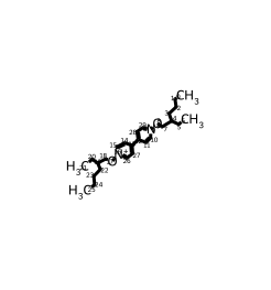 CCCCC(CC)CO[n+]1ccc(-c2cc[n+](OCC(CC)CCCC)cc2)cc1